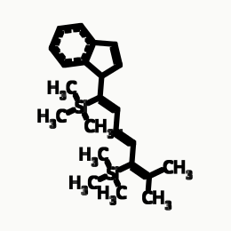 CC(C)=C(C=[C]C=C(C1C=Cc2ccccc21)[Si](C)(C)C)[Si](C)(C)C